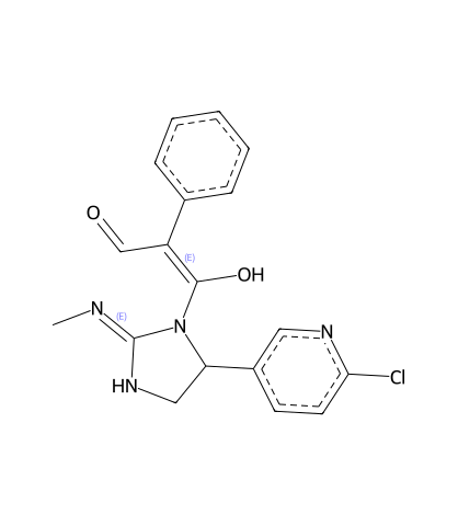 C/N=C1\NCC(c2ccc(Cl)nc2)N1/C(O)=C(\C=O)c1ccccc1